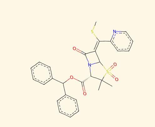 CS/C(=C1\C(=O)N2C1S(=O)(=O)C(C)(C)[C@@H]2C(=O)OC(c1ccccc1)c1ccccc1)c1ccccn1